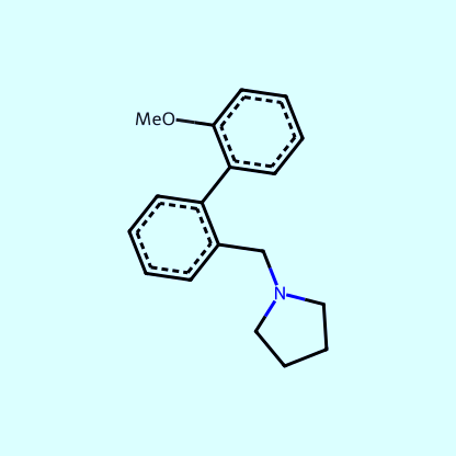 COc1ccccc1-c1ccccc1CN1CCCC1